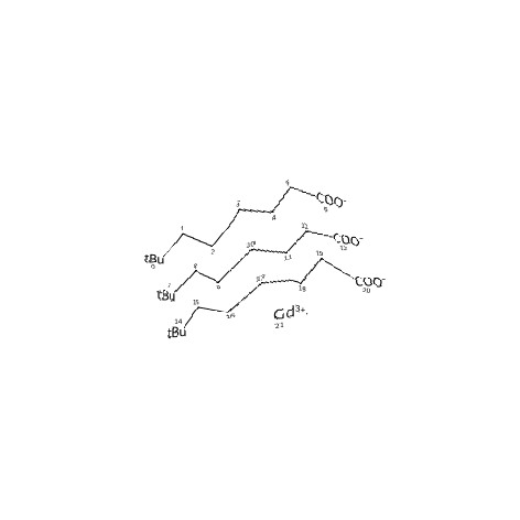 CC(C)(C)CCCCCC(=O)[O-].CC(C)(C)CCCCCC(=O)[O-].CC(C)(C)CCCCCC(=O)[O-].[Gd+3]